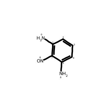 Nc1cccc(N)c1N=O